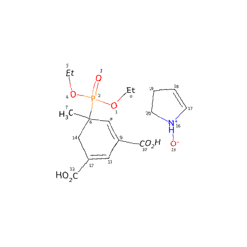 CCOP(=O)(OCC)C1(C)C=C(C(=O)O)C=C(C(=O)O)C1.[O-][NH+]1C=CCC1